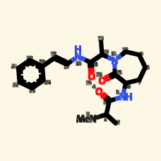 CNC(C)C(=O)NC1CCCCN(C(C)C(=O)NC=Cc2ccccc2)C1=O